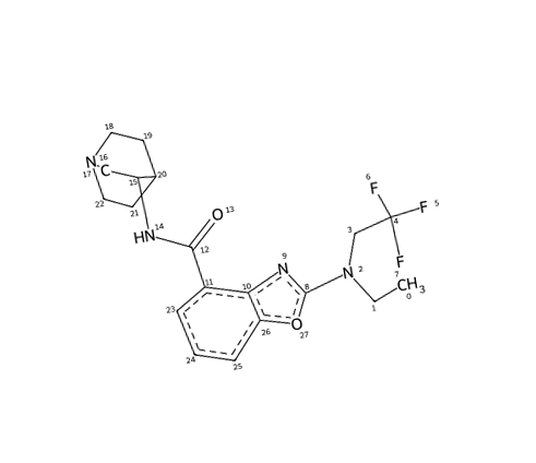 CCN(CC(F)(F)F)c1nc2c(C(=O)NC3CN4CCC3CC4)cccc2o1